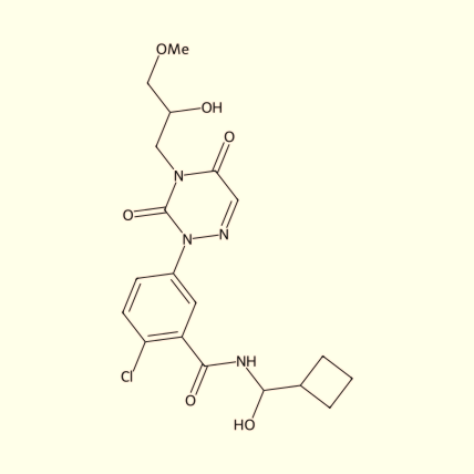 COCC(O)Cn1c(=O)cnn(-c2ccc(Cl)c(C(=O)NC(O)C3CCC3)c2)c1=O